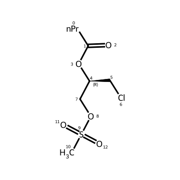 CCCC(=O)O[C@@H](CCl)COS(C)(=O)=O